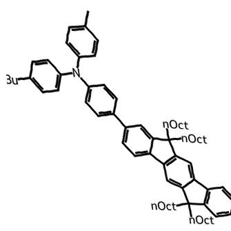 CCCCCCCCC1(CCCCCCCC)c2cc(C)ccc2-c2cc3c(cc21)-c1ccc(-c2ccc(N(c4ccc(C)cc4)c4ccc(C(C)CC)cc4)cc2)cc1C3(CCCCCCCC)CCCCCCCC